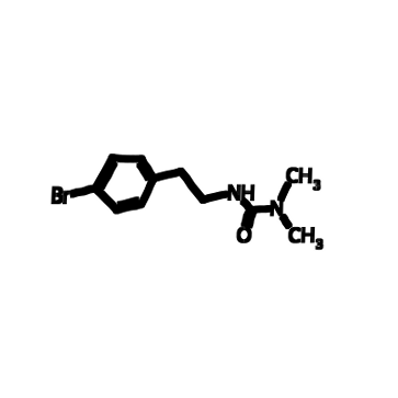 CN(C)C(=O)NCCc1ccc(Br)cc1